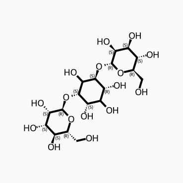 OC[C@H]1O[C@H](O[C@@H]2C(O)[C@@H](O[C@H]3O[C@H](CO)[C@@H](O)[C@H](O)[C@@H]3O)[C@@H](O)C(O)[C@H]2O)[C@@H](O)[C@@H](O)[C@@H]1O